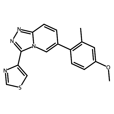 COc1ccc(-c2ccc3nnc(-c4cscn4)n3c2)c(C)c1